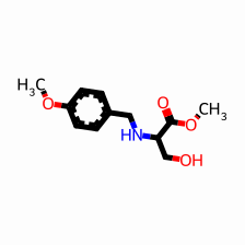 COC(=O)C(CO)NCc1ccc(OC)cc1